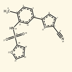 Cc1ccc(-c2ccc(C#N)s2)cc1NS(=O)(=O)c1ccco1